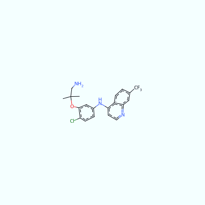 CC(C)(CN)Oc1cc(Nc2ccnc3cc(C(F)(F)F)ccc23)ccc1Cl